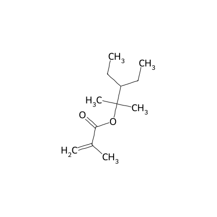 C=C(C)C(=O)OC(C)(C)C(CC)CC